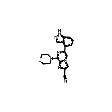 N#Cc1cn2cc(-c3cccc4[nH]ncc34)nc(N3CCOCC3)c2n1